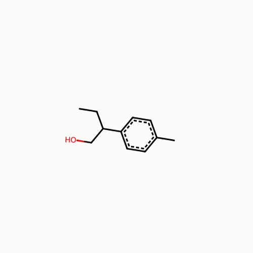 CCC(CO)c1ccc(C)cc1